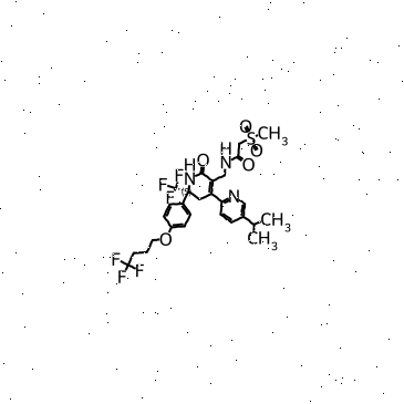 CC(C)c1ccc(C2=C(CNC(=O)CS(C)(=O)=O)C(=O)N[C@@](c3ccc(OCCCC(F)(F)F)cc3)(C(F)(F)F)C2)nc1